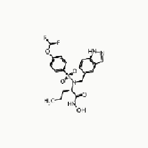 CCC[C@H](C(=O)NO)N(Cc1ccc2[nH]ncc2c1)S(=O)(=O)c1ccc(OC(F)F)cc1